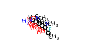 Cc1ccc(-c2cc(N(C)C)c3c(c2O)C(=O)C2=C(O)[C@]4(O)C(=O)C(C(N)=O)=C(O)[C@@H](N(C)C)[C@@H]4C[C@@H]2C3)c(F)c1